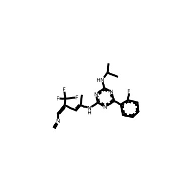 C=N/C=C(\C=C(/C)Nc1nc(NC(C)C)nc(-c2ccccc2F)n1)C(F)(F)F